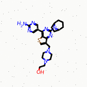 Nc1ncc(-c2nc(N3C4CCCC3CC4)nc3c(CN4CCN(CCO)CC4)csc23)cn1